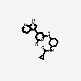 O=C(NC1CCCC(Nc2cc(-c3c[nH]c4ncccc34)cc(Cl)n2)C1)C1CC1